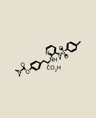 Cc1ccc(S(=O)(=O)N(C)c2cccnc2N[C@@H](Cc2ccc(OC(=O)N(C)C)cc2)C(=O)O)cc1